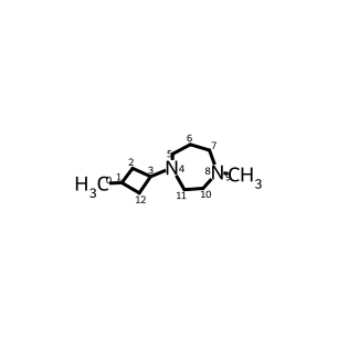 CC1CC(N2CCCN(C)CC2)C1